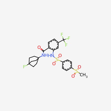 CS(=O)(=O)c1ccc(S(=O)(=O)Nc2cc(C(F)(F)F)ccc2C(=O)NC23CCC(F)(CC2)CC3)cc1